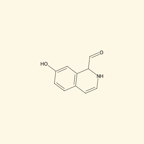 O=CC1NC=Cc2ccc(O)cc21